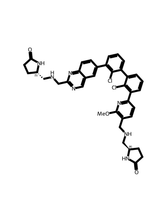 COc1nc(-c2cccc(-c3cccc(-c4ccc5nc(CNC[C@@H]6CCC(=O)N6)ncc5c4)c3Cl)c2Cl)ccc1CNC[C@H]1CCC(=O)N1